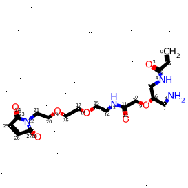 C=CC(=O)NCC(CN)OCC(=O)NCCOCCOCCN1C(=O)C=CC1=O